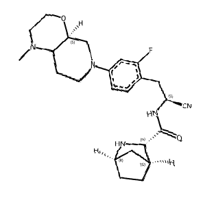 CN1CCO[C@H]2CN(c3ccc(C[C@@H](C#N)NC(=O)[C@H]4N[C@@H]5CC[C@H]4C5)c(F)c3)CCC21